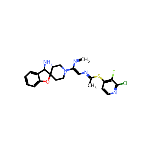 C=N/C(=C\N=C(/C)Sc1ccnc(Cl)c1F)N1CCC2(CC1)Oc1ccccc1[C@H]2N